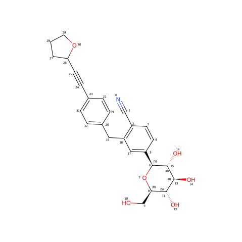 N#Cc1ccc([C@@H]2O[C@H](CO)[C@@H](O)[C@H](O)[C@H]2O)cc1Cc1ccc(C#CC2CCCO2)cc1